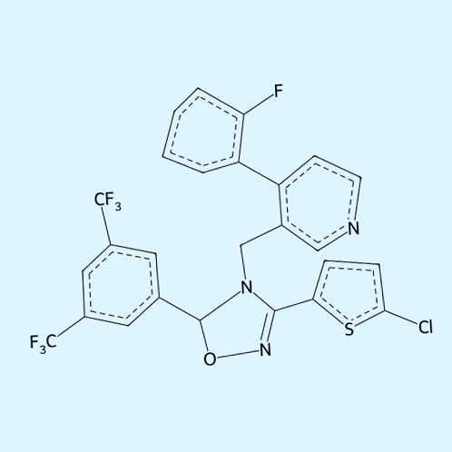 Fc1ccccc1-c1ccncc1CN1C(c2ccc(Cl)s2)=NOC1c1cc(C(F)(F)F)cc(C(F)(F)F)c1